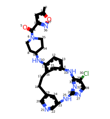 Cc1cc(C(=O)N2CCC(Nc3ccc4cc3CCc3cncc(c3)Nc3ncc(Cl)c(n3)N4)CC2)no1